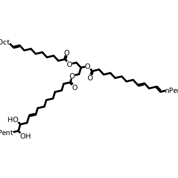 CCCCC/C=C/C/C=C/CCCCCCCC(=O)OC(COC(=O)CCCCCCC/C=C/CCCCCCCC)COC(=O)CCCCCCC/C=C/CC(O)C(O)CCCCC